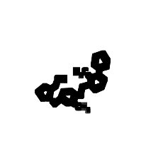 Cc1cc(CN2CCCC2CO)ccc1OCc1cccc(-c2ccccc2)c1C